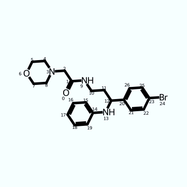 O=C(CN1CCOCC1)NCCC(Nc1ccccc1)c1ccc(Br)cc1